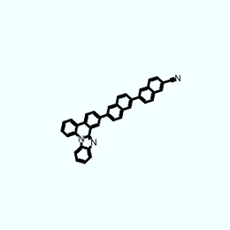 N#Cc1ccc2cc(-c3ccc4cc(-c5ccc6c7ccccc7n7c8ccccc8nc7c6c5)ccc4c3)ccc2c1